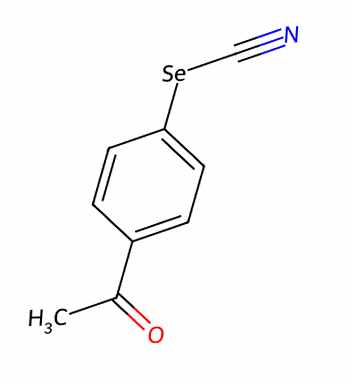 CC(=O)c1ccc([Se]C#N)cc1